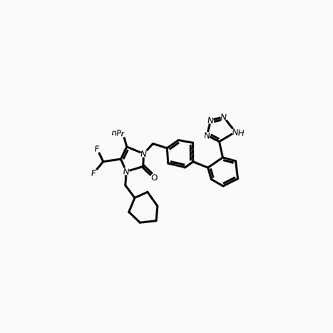 CCCc1c(C(F)F)n(CC2CCCCC2)c(=O)n1Cc1ccc(-c2ccccc2-c2nnn[nH]2)cc1